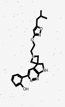 CC(C)Cc1cc(OCCN2CC3(CNc4nnc(-c5ccccc5O)cc43)C2)no1